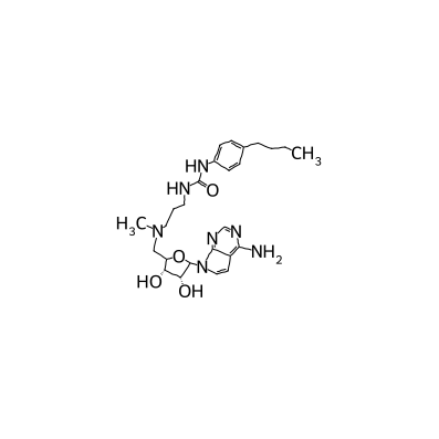 CCCCc1ccc(NC(=O)NCCCN(C)CC2OC(n3ccc4c(N)ncnc43)[C@H](O)[C@@H]2O)cc1